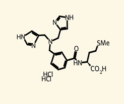 CSCC[C@H](NC(=O)c1cccc(CN(Cc2c[nH]cn2)Cc2c[nH]cn2)c1)C(=O)O.Cl.Cl